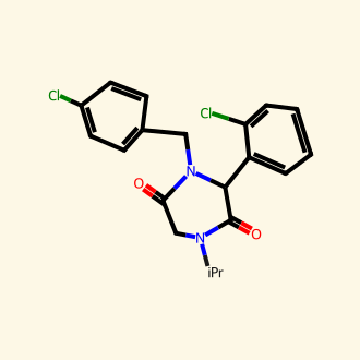 CC(C)N1CC(=O)N(Cc2ccc(Cl)cc2)C(c2ccccc2Cl)C1=O